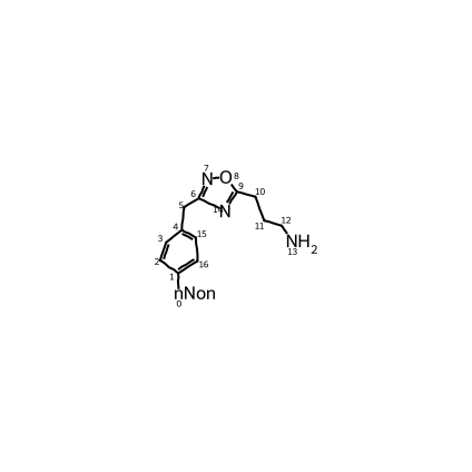 CCCCCCCCCc1ccc(Cc2noc(CCCN)n2)cc1